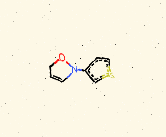 [c]1sccc1N1C=CCO1